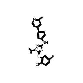 Cc1cc(-c2ccc(Nc3nc(Oc4cc(F)ccc4Cl)n(C(C)C)n3)cc2)ccn1